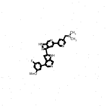 COc1cc(F)cc(-c2cncc3[nH]c(-c4n[nH]c5cnc(-c6cncc(CN(C)C)c6)cc45)cc23)c1